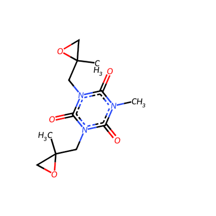 Cn1c(=O)n(CC2(C)CO2)c(=O)n(CC2(C)CO2)c1=O